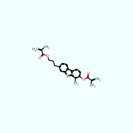 C=C(C)C(=O)OCCCc1ccc2c(c1)sc1c(C(F)(F)F)c(OC(=O)C(=C)C)ccc12